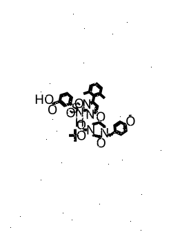 COc1ccc(CN2CC(Oc3cc(-c4c(C)cccc4C)nc(NS(=O)(=O)c4cccc(C(=O)O)c4)n3)CN(C(=O)OC(C)(C)C)CC2=O)cc1